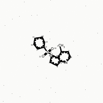 Cc1ccnc2ccn(S(=O)(=O)c3ccccc3)c12